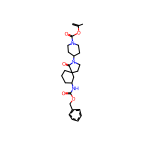 C=C(C)OC(=O)N1CCC(N2CCC3(CCCC(NC(=O)OCc4ccccc4)C3)C2=O)CC1